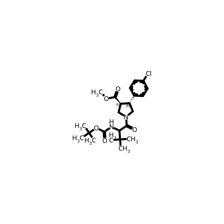 COC(=O)[C@@H]1CN(C(=O)C(NC(=O)OC(C)(C)C)C(C)(C)C)C[C@H]1c1ccc(Cl)cc1